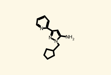 Nc1cc(-c2ccccn2)nn1CC1CCCC1